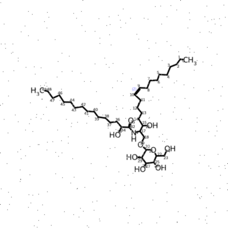 CCCCCCCCC/C=C\CCCCC(O)C(COC1OC(CO)C(O)C(O)C1O)NC(=O)C(O)CCCCCCCCCCCCCC